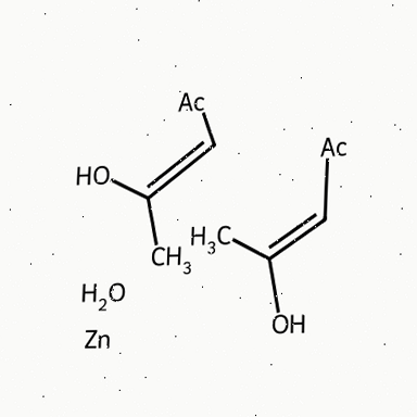 CC(=O)/C=C(/C)O.CC(=O)/C=C(\C)O.O.[Zn]